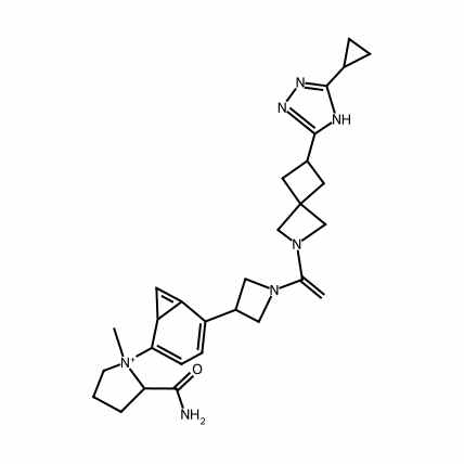 C=C(N1CC(C2=CC=C([N+]3(C)CCCC3C(N)=O)C3C=C23)C1)N1CC2(CC(c3nnc(C4CC4)[nH]3)C2)C1